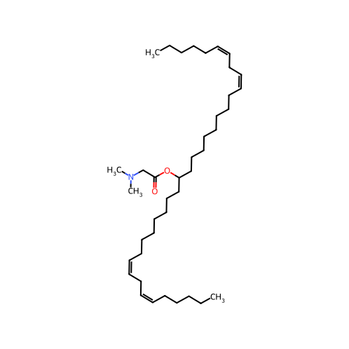 CCCCC/C=C\C/C=C\CCCCCCCCC(CCCCCCC/C=C\C/C=C\CCCCC)OC(=O)CN(C)C